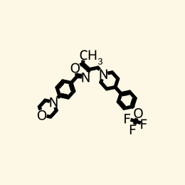 Cc1oc(-c2ccc(N3CCOCC3)cc2)nc1CN1CCC(c2ccc(OC(F)(F)F)cc2)CC1